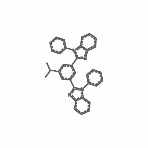 CC(C)c1cc(-c2nc3ccccc3n2-c2ccccc2)cc(-c2nc3ccccc3n2-c2ccccc2)c1